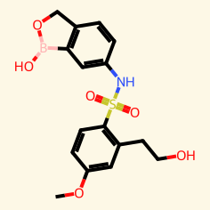 COc1ccc(S(=O)(=O)Nc2ccc3c(c2)B(O)OC3)c(CCO)c1